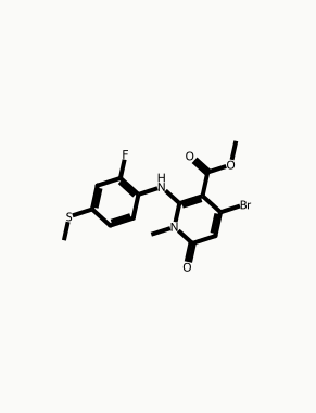 COC(=O)c1c(Br)cc(=O)n(C)c1Nc1ccc(SC)cc1F